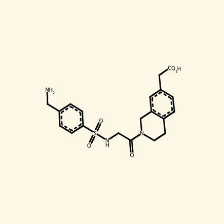 NCc1ccc(S(=O)(=O)NCC(=O)N2CCc3ccc(CC(=O)O)cc3C2)cc1